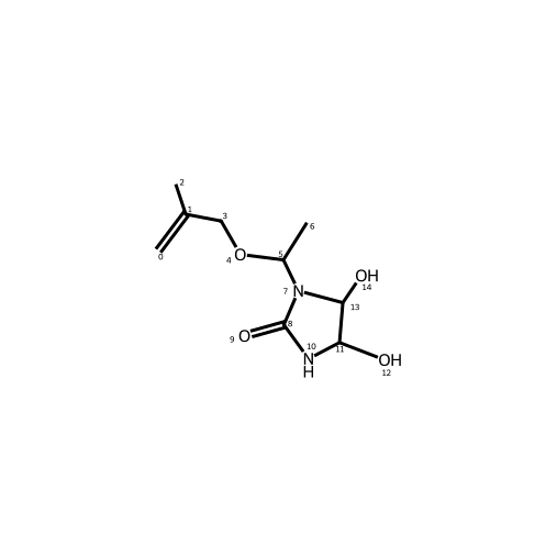 C=C(C)COC(C)N1C(=O)NC(O)C1O